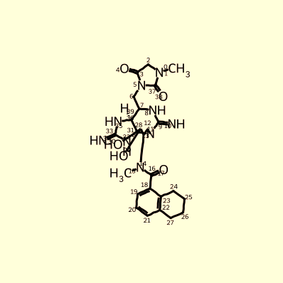 CN1CC(=O)N(CC2NC(=N)N3CC(N(C)C(=O)c4cccc5c4CCCC5)C(O)(O)[C@@]34NC(=N)N[C@@H]24)C1=O